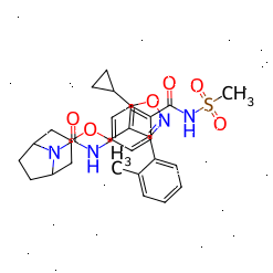 Cc1ccccc1-c1noc(C2CC2)c1COC1CC2CCC(C1)N2C(=O)Nc1ccc(C(=O)NS(C)(=O)=O)cc1